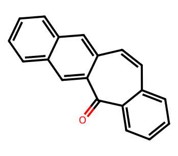 O=c1c2ccccc2ccc2cc3ccccc3cc12